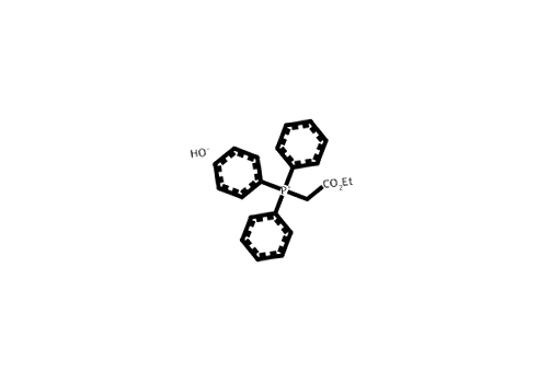 CCOC(=O)C[P+](c1ccccc1)(c1ccccc1)c1ccccc1.[OH-]